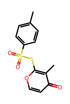 Cc1ccc(S(=O)(=O)Sc2occc(=O)c2C)cc1